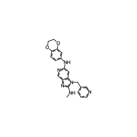 CNc1nc2cnc(Nc3ccc4c(c3)OCCO4)cc2n1Cc1cccnc1